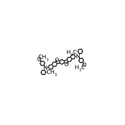 COc1ccc(N(c2ccc3cc4c(cc3c2)oc2cc3c(cc24)oc2cc4cc(N(c5ccc(OC)cc5)c5ccccc5C)ccc4cc23)c2ccccc2C)cc1